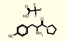 N#Cc1ccc(CC(N)C(=O)N2CCCC2)cc1.O=C(O)C(F)(F)F